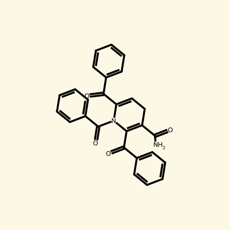 NC(=O)C1=C(C(=O)c2ccccc2)N(C(=O)c2ccccc2)C(C(=O)c2ccccc2)=CC1